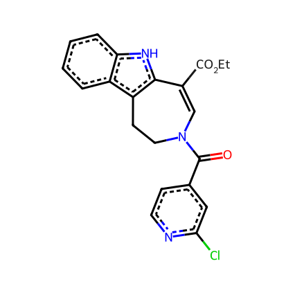 CCOC(=O)C1=CN(C(=O)c2ccnc(Cl)c2)CCc2c1[nH]c1ccccc21